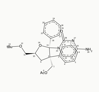 CC(=O)OC[C@]1(c2ccccc2)C[C@@H](COC(C)(C)C)O[C@@]1(c1ccccc1)n1ccc(N)nc1=O